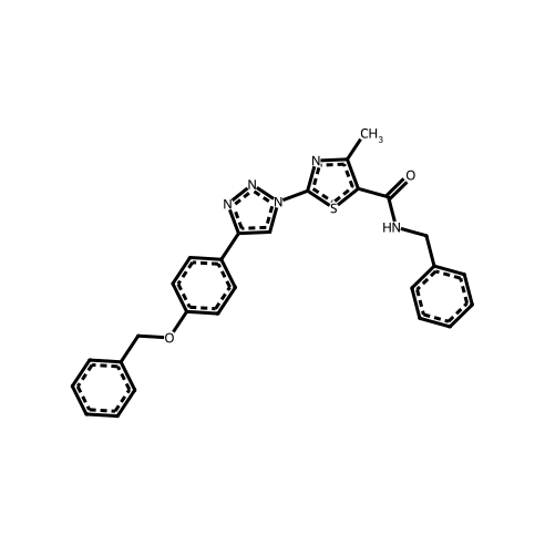 Cc1nc(-n2cc(-c3ccc(OCc4ccccc4)cc3)nn2)sc1C(=O)NCc1ccccc1